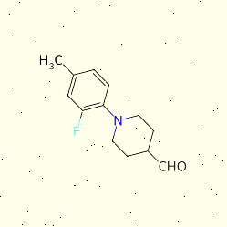 Cc1ccc(N2CCC(C=O)CC2)c(F)c1